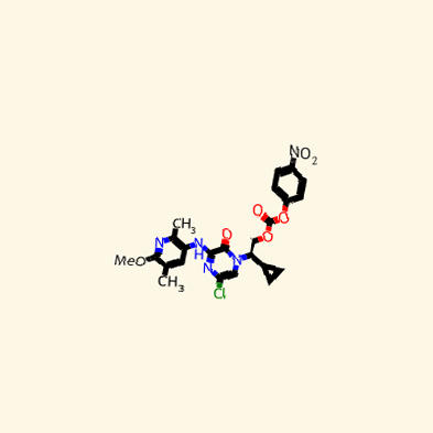 COc1nc(C)c(Nc2nc(Cl)cn([C@@H](COC(=O)Oc3ccc([N+](=O)[O-])cc3)C3CC3)c2=O)cc1C